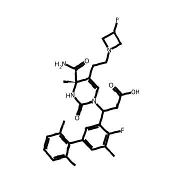 Cc1cc(-c2c(C)cccc2C)cc(C(CC(=O)O)N2C=C(CCN3CC(F)C3)[C@@](C)(C(N)=O)NC2=O)c1F